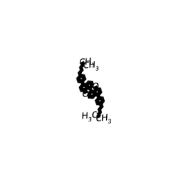 CC(C)CCCc1ccc(-c2ccc3oc4ccc5c(-c6ccc(CCCC(C)C)cc6)ccc6oc7ccc2c3c7-c4c65)cc1